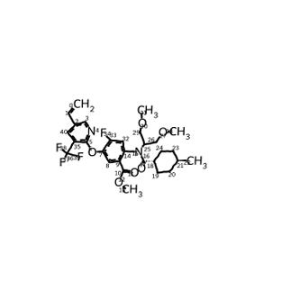 C=Cc1cnc(Oc2cc(C(=O)OC)c(N(C(=O)[C@H]3CC[C@H](C)CC3)C(COC)COC)cc2F)c(C(F)(F)F)c1